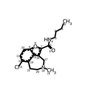 CCCCNC(=O)c1oc2ccc(Cl)c3c2c1CN(C)CC3